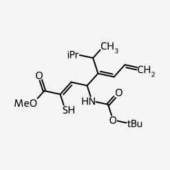 C=C/C=C(/C(/C=C(\S)C(=O)OC)NC(=O)OC(C)(C)C)C(C)C(C)C